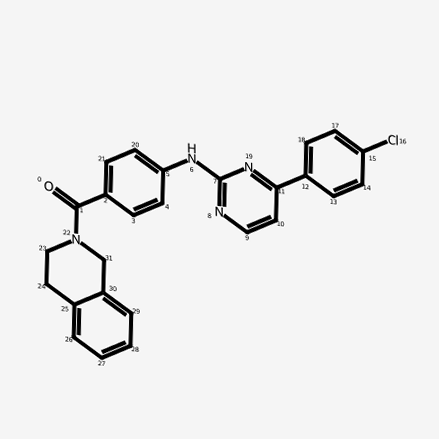 O=C(c1ccc(Nc2nccc(-c3ccc(Cl)cc3)n2)cc1)N1CCc2ccccc2C1